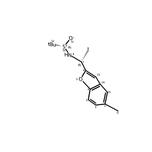 Cc1ccc2oc([C@@H](C)N[S@@+]([O-])C(C)(C)C)cc2c1